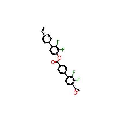 C=Cc1ccc(-c2ccc(OC(=O)c3ccc(-c4ccc(C5CO5)c(F)c4F)cc3)c(F)c2F)cc1